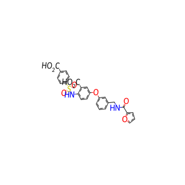 O=C(O)c1ccc(S(=O)(=O)Nc2ccc(Oc3cccc(CNC(=O)c4ccco4)c3)cc2C(=O)O)cc1